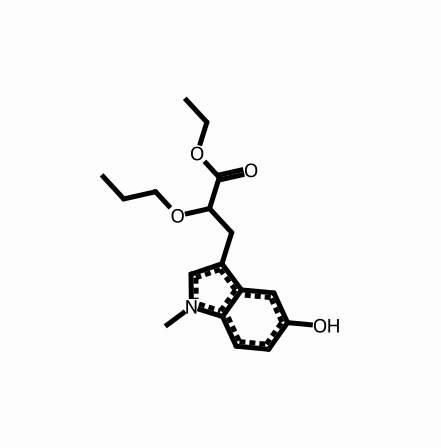 CCCOC(Cc1cn(C)c2ccc(O)cc12)C(=O)OCC